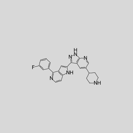 Fc1cccc(-c2nccc3[nH]c(-c4n[nH]c5ncc(C6CCNCC6)cc45)cc23)c1